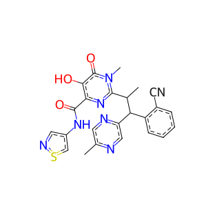 Cc1cnc(C(c2ccccc2C#N)C(C)c2nc(C(=O)Nc3cnsc3)c(O)c(=O)n2C)cn1